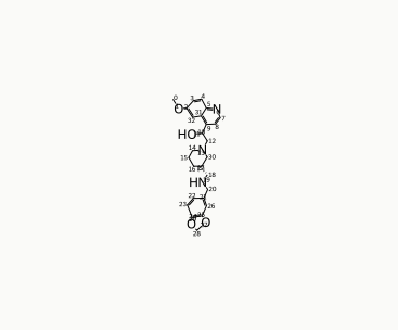 COc1ccc2nccc(C(O)CN3CCC[C@@H](CNCc4ccc5c(c4)OCO5)C3)c2c1